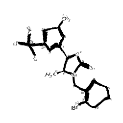 Cc1cc([C@H]2OC(=O)N(CC3=C(Br)CCCC3)[C@H]2C)cc(C(F)(F)F)c1